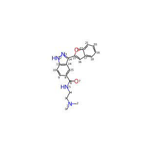 CN(C)CCNC(=O)c1ccc2[nH]nc(-c3cc4ccccc4o3)c2c1